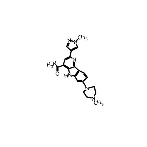 CN1CCN(c2ccc3c(c2)[nH]c2c(C(N)=O)cc(-c4cnn(C)c4)nc23)CC1